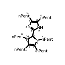 CCCCCC1=C(CCCCC)N(CCCCC)C(c2nc(CCCCC)c(CCCCC)[nH]2)N1CCCCC